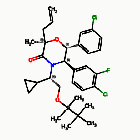 C=CC[C@@]1(C)O[C@H](c2cccc(Cl)c2)[C@@H](c2ccc(Cl)c(F)c2)N([C@H](CO[Si](C)(C)C(C)(C)C)C2CC2)C1=O